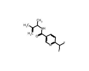 C=C(C)C(C)NC(=O)c1ccc(C(F)F)nc1